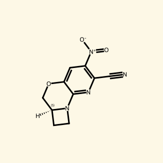 N#Cc1nc2c(cc1[N+](=O)[O-])OC[C@@H]1CCN21